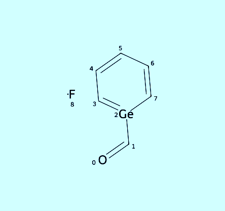 O=[CH][Ge]1=[CH]C=CC=[CH]1.[F]